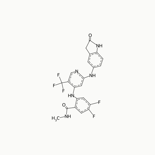 CNC(=O)c1cc(F)c(F)cc1Nc1cc(Nc2ccc3c(c2)CC(=O)N3)ncc1C(F)(F)F